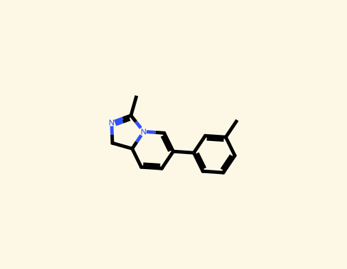 CC1=NCC2C=CC(c3cccc(C)c3)=CN12